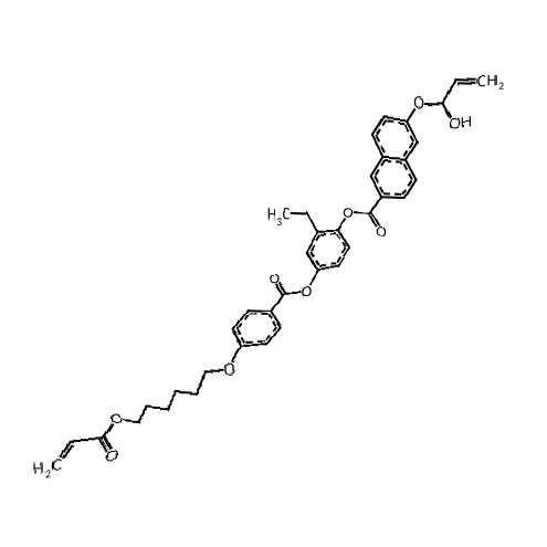 C=CC(=O)OCCCCCCOc1ccc(C(=O)Oc2ccc(OC(=O)c3ccc4cc(OC(O)C=C)ccc4c3)c(CC)c2)cc1